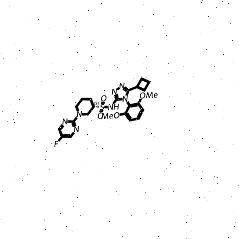 COc1cccc(OC)c1-n1c(NS(=O)(=O)[C@H]2CCCN(c3ncc(F)cn3)C2)nnc1C1CCC1